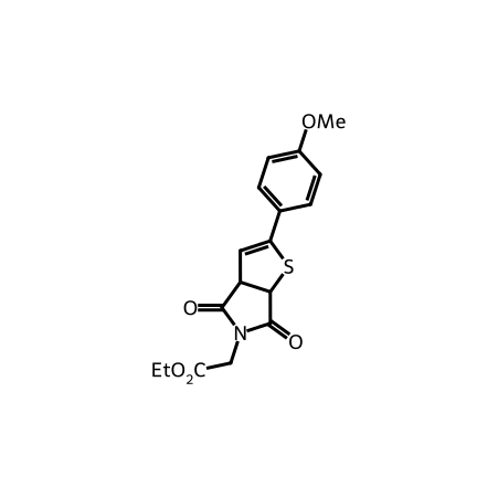 CCOC(=O)CN1C(=O)C2C=C(c3ccc(OC)cc3)SC2C1=O